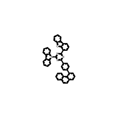 c1ccc2c(c1)ccc1cccc(-c3ccc(-c4nc(-c5cccc6c5oc5ccccc56)nc(-n5c6ccccc6c6ccccc65)n4)cc3)c12